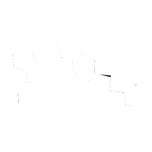 CCOc1ccccc1OC(=O)[C@H]1CC[C@H](CNC(=N)N)CC1